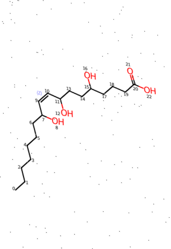 CCCCCCCC(O)/C=C\C(O)CCC(O)CCCC(=O)O